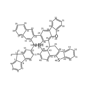 CC1(C)c2ccccc2-c2ccc(Nc3cc4ccccc4cc3-c3cc4c(oc5ccccc54)c4c3Bc3cccc5c3C4Cc3c-5sc4ccccc34)cc21